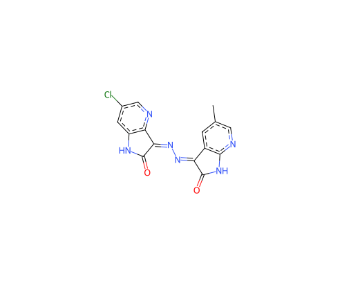 Cc1cnc2c(c1)/C(=N\N=C1/C(=O)Nc3cc(Cl)cnc31)C(=O)N2